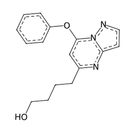 OCCCCc1cc(Oc2ccccc2)n2nccc2n1